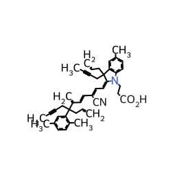 C=CCC(CC#CC)(C(=C)/C=C/C(C#N)=C/C=C1/N(CCC(=O)O)c2ccc(C)cc2C1(CC#CC)CC=C)c1cc(C)ccc1C